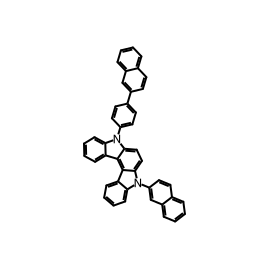 c1ccc2cc(-c3ccc(-n4c5ccccc5c5c6c7ccccc7n(-c7ccc8ccccc8c7)c6ccc54)cc3)ccc2c1